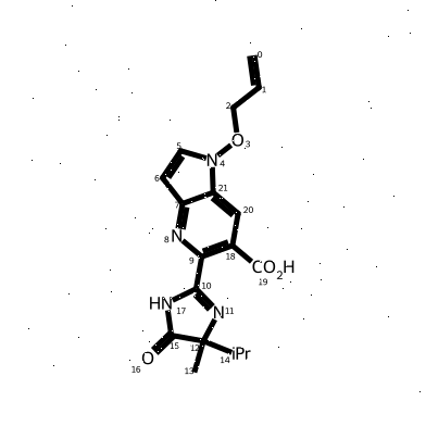 C=CCOn1ccc2nc(C3=NC(C)(C(C)C)C(=O)N3)c(C(=O)O)cc21